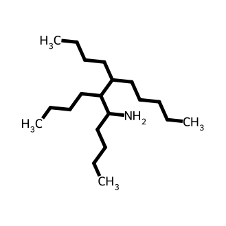 CCCCCC(CCCC)C(CCCC)C(N)CCCC